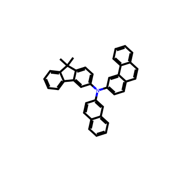 CC1(C)c2ccccc2-c2cc(N(c3ccc4ccccc4c3)c3ccc4ccc5ccccc5c4c3)ccc21